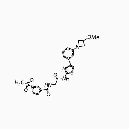 COC1CN(c2cccc(-c3csc(NC(=O)CNC(=O)c4ccn(S(C)(=O)=O)c4)n3)c2)C1